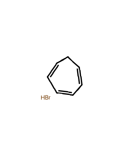 Br.C1=CC=CCC=C1